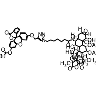 CC(=O)O[C@H]1C2C([C@@H](O)[C@H](NC(=O)CCCCCCn3cc(COc4ccc5c(c4)Oc4cc(OC(=O)C(C)(C)C)ccc4C54OC(=O)c5ccccc54)nn3)[C@H]3C[C@@H]4O[C@@H]4[C@H](O)[C@]23C)[C@@H]2[C@@H](O)[C@@H]3[C@H]([C@H](C)[C@H]4O[C@]45OC(=O)[C@@](C)(O)[C@]35C)[C@@]2(C)[C@H]1OC(C)=O